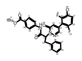 CC(C)(C)OC(=O)c1ccc(NC(=O)C(Cc2ccccc2)n2ncc(-c3c(F)ccc(Cl)c3F)cc2=O)cc1